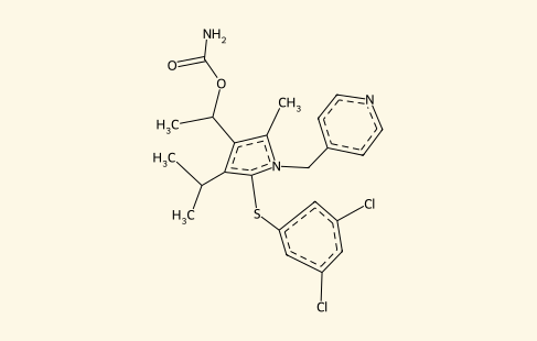 Cc1c(C(C)OC(N)=O)c(C(C)C)c(Sc2cc(Cl)cc(Cl)c2)n1Cc1ccncc1